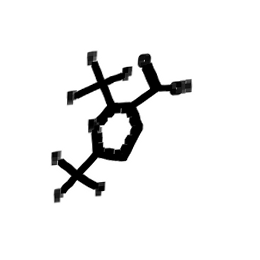 O=C(O)c1ccc(C(F)(F)F)nc1C(F)(F)F